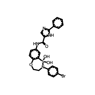 O=C(Nc1ccc2c(c1)S(O)(O)N(c1ccc(Br)cc1)CCO2)c1cnc(-c2ccccc2)[nH]1